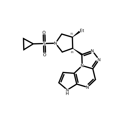 CC[C@@H]1CN(S(=O)(=O)C2CC2)C[C@@H]1c1nnc2cnc3[nH]ccc3n12